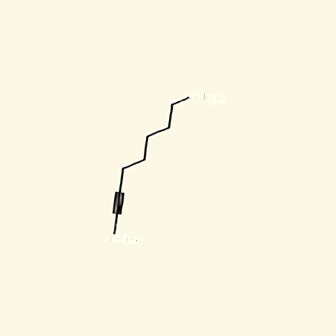 [CH2]CCCCCC#CCCCCCCCCCCC[CH2]